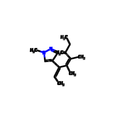 C=C(CC)/C(C)=C(C)\C(=C/C)c1cnn(C)c1